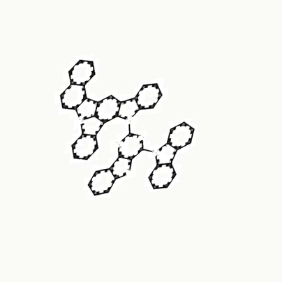 c1ccc2c(c1)ccc1c2c2cc3c4ccccc4n(-c4nc(-n5c6ccccc6c6ccccc65)c5sc6ccccc6c5n4)c3c3c4ccccc4n1c23